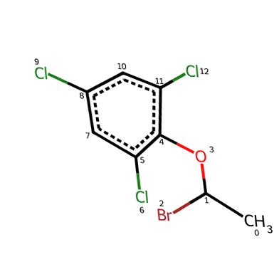 CC(Br)Oc1c(Cl)cc(Cl)cc1Cl